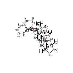 CC(C)(Oc1ccc2ccccc2c1Cl)C(=O)N[C@H]1C[C@H]2CC[C@@H](C1)N2c1ccc(C(N)=O)cn1